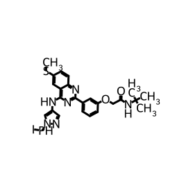 CSc1ccc2nc(-c3cccc(OCC(=O)NC(C)(C)C)c3)nc(Nc3cnn(PI)c3)c2c1